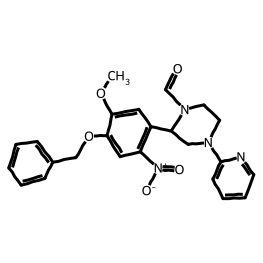 COc1cc(C2CN(c3ccccn3)CCN2C=O)c([N+](=O)[O-])cc1OCc1ccccc1